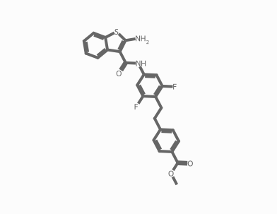 COC(=O)c1ccc(CCc2c(F)cc(NC(=O)c3c(N)sc4ccccc34)cc2F)cc1